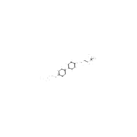 CCCc1ccc(-c2ccc(OC/C=C/C(F)(F)F)cc2)cc1